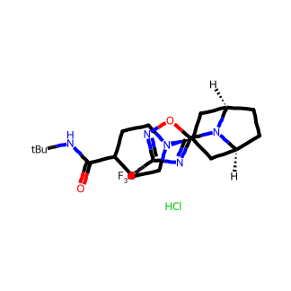 CC(C)(C)NC(=O)C1CCN([C@H]2C[C@H]3CC[C@@H](C2)N3c2nc(C(F)(F)F)no2)CC1.Cl